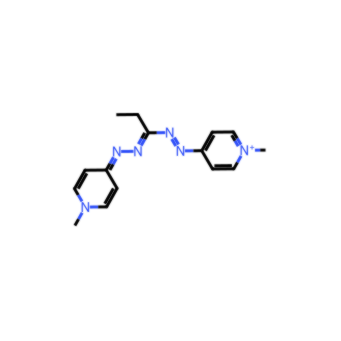 CCC(N=Nc1cc[n+](C)cc1)=NN=c1ccn(C)cc1